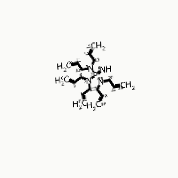 C=CCN(CC=C)P(=N)(N(CC=C)CC=C)N(CC=C)CC=C